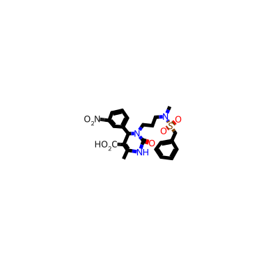 CC1=C(C(=O)O)C(c2cccc([N+](=O)[O-])c2)N(CCCN(C)S(=O)(=O)Cc2ccccc2)C(=O)N1